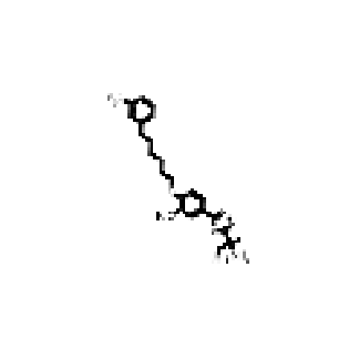 CC(N)(CO)c1nnc(-c2ccc(OCCCCCCc3cccc(C(F)(F)F)c3)c(C(F)(F)F)c2)s1